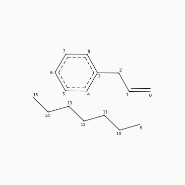 C=CCc1ccccc1.CCCCCCC